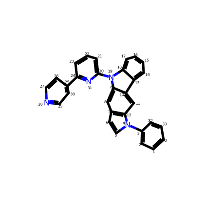 c1ccc(-n2ccc3cc4c(cc32)c2ccccc2n4-c2cccc(-c3ccncc3)n2)cc1